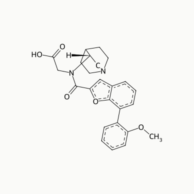 COc1ccccc1-c1cccc2cc(C(=O)N(CC(=O)O)[C@H]3CN4CCC3CC4)oc12